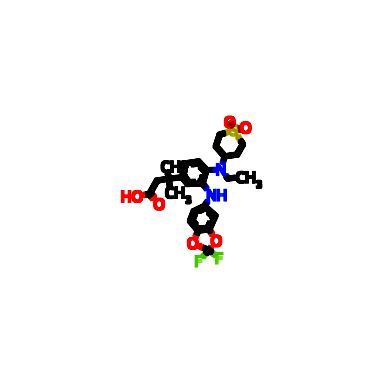 CCN(c1ccc(C(C)(C)CC(=O)O)cc1Nc1ccc2c(c1)OC(F)(F)O2)C1CCS(=O)(=O)CC1